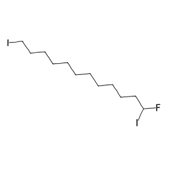 FC(I)CCCCCCCCCCCI